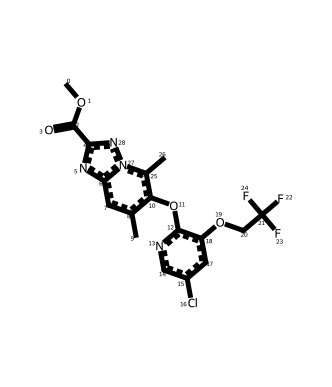 COC(=O)c1nc2cc(C)c(Oc3ncc(Cl)cc3OCC(F)(F)F)c(C)n2n1